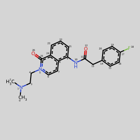 CN(C)CCn1ccc2c(NC(=O)Cc3ccc(F)cc3)cccc2c1=O